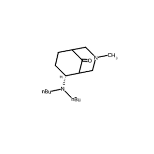 CCCCN(CCCC)[C@@H]1CCC2CN(C)CC1C2=O